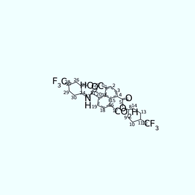 O=C(O)c1ccc(C(=O)OC2CCC(C(F)(F)F)CC2)c2c(C(=O)O)ccc(C(=O)NC3CCC(C(F)(F)F)CC3)c12